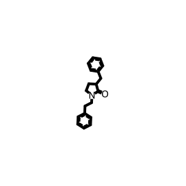 O=C1C(Cc2ccccc2)CCN1CCc1ccccc1